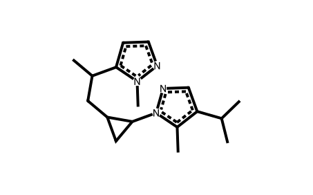 Cc1c(C(C)C)cnn1C1CC1CC(C)c1ccnn1C